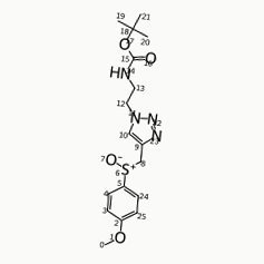 COc1ccc([S+]([O-])Cc2cn(CCNC(=O)OC(C)(C)C)nn2)cc1